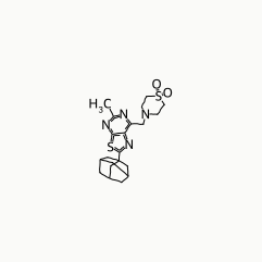 Cc1nc(CN2CCS(=O)(=O)CC2)c2nc(C34CC5CC(CC(C5)C3)C4)sc2n1